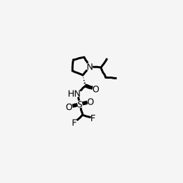 CCC(C)N1CCC[C@H]1C(=O)NS(=O)(=O)C(F)F